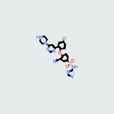 N#Cc1cc(S(=O)(=O)Nc2ncns2)ccc1Oc1ccc(Cl)cc1-c1cc(N2CCNCC2)ncn1